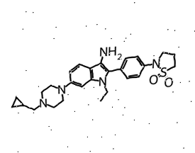 CCn1c(-c2ccc(N3CCCS3(=O)=O)cc2)c(N)c2ccc(N3CCN(CC4CC4)CC3)cc21